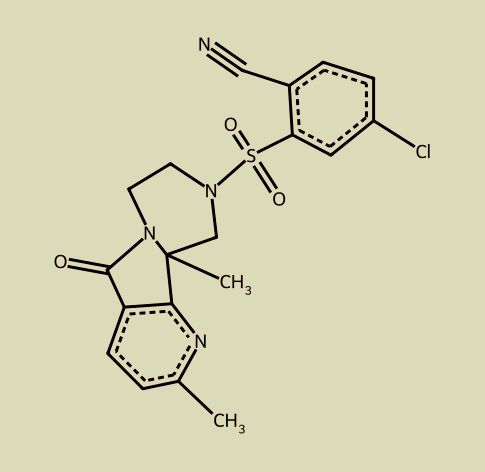 Cc1ccc2c(n1)C1(C)CN(S(=O)(=O)c3cc(Cl)ccc3C#N)CCN1C2=O